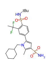 Cc1c(S(N)(=O)=O)cc(-c2ccc(S(=O)(=O)NC(C)(C)C)c(C(C)(F)F)c2)n1CC1CCCCC1